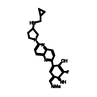 CN/C=C1/C=C(c2ccc3nc(N4CCC(NCC5CC5)C4)ccc3n2)C(O)=C(F)C1=N